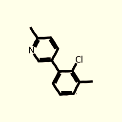 Cc1ccc(-c2cc[c]c(C)c2Cl)cn1